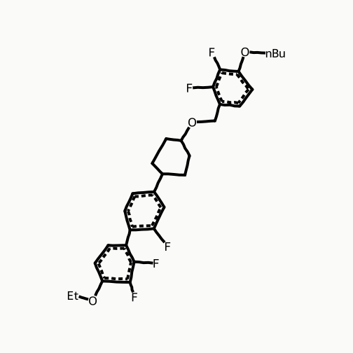 CCCCOc1ccc(COC2CCC(c3ccc(-c4ccc(OCC)c(F)c4F)c(F)c3)CC2)c(F)c1F